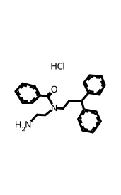 Cl.NCCN(CCC(c1ccccc1)c1ccccc1)C(=O)c1ccccc1